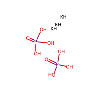 O=P(O)(O)O.O=P(O)(O)O.[KH].[KH].[KH]